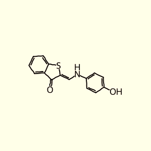 O=C1C(=CNc2ccc(O)cc2)Sc2ccccc21